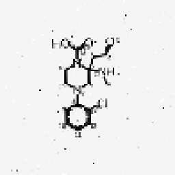 CNC1(CC=O)CN(c2ccccc2Cl)CCN1C(=O)O